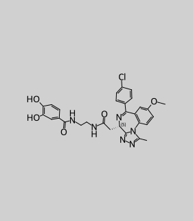 COc1ccc2c(c1)C(c1ccc(Cl)cc1)=N[C@@H](CC(=O)NCCNC(=O)c1ccc(O)c(O)c1)c1nnc(C)n1-2